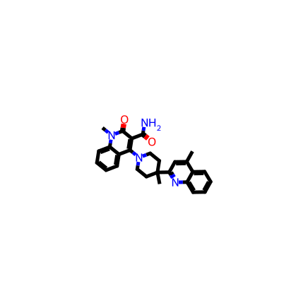 Cc1cc(C2(C)CCN(c3c(C(N)=O)c(=O)n(C)c4ccccc34)CC2)nc2ccccc12